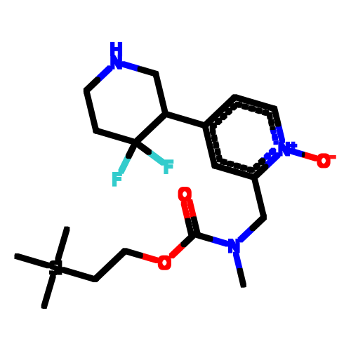 CN(Cc1cc(C2CNCCC2(F)F)cc[n+]1[O-])C(=O)OCC[Si](C)(C)C